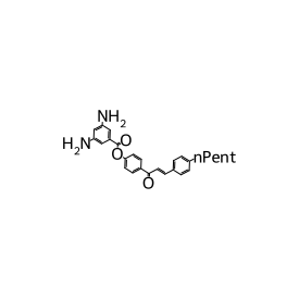 CCCCCc1ccc(/C=C/C(=O)c2ccc(OC(=O)c3cc(N)cc(N)c3)cc2)cc1